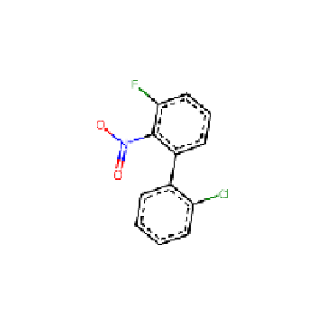 O=[N+]([O-])c1c(F)cccc1-c1ccccc1Cl